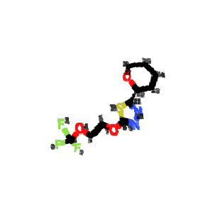 FC(F)(F)OCCOc1nnc([C@H]2CCCCO2)s1